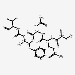 CC(C)C([C]=O)NC(=O)C[C@H](O)C(Cc1ccccc1)NC(=O)[C@H](CC(N)=O)NC(=O)[C@H](CCC(N)=O)NC(=O)[C@@H](N)CO